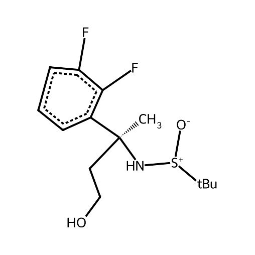 CC(C)(C)[S+]([O-])N[C@@](C)(CCO)c1cccc(F)c1F